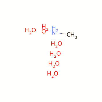 CN.O.O.O.O.O.O